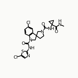 CNC(=O)C1(NC(=O)N2CCC3(C2)CN(C(=O)Nc2ncc(Cl)s2)c2ccc(Cl)cc23)CC1